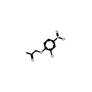 CC(=O)COc1ccc([N+](=O)[O-])cc1Cl